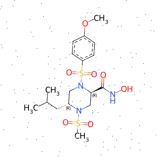 COc1ccc(S(=O)(=O)N2C[C@@H](CC(C)C)N(S(C)(=O)=O)C[C@@H]2C(=O)NO)cc1